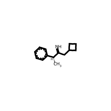 C[C@@H](C(=N)CC1CCC1)c1c[c]ccc1